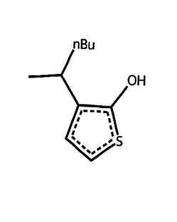 CCCCC(C)c1ccsc1O